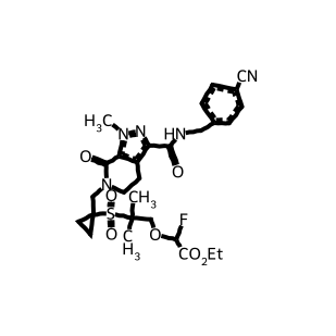 CCOC(=O)C(F)OCC(C)(C)S(=O)(=O)C1(CN2CCc3c(C(=O)NCc4ccc(C#N)cc4)nn(C)c3C2=O)CC1